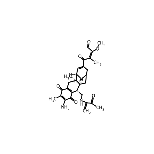 C=C(NC[C@H]1C2=C(C[C@]3(C)C1CC1CC(C(=O)/C(C)=C(\C=O)OC)=C[C@H]3N1C)C(=O)C(C)=C(N)C2=O)C(C)=O